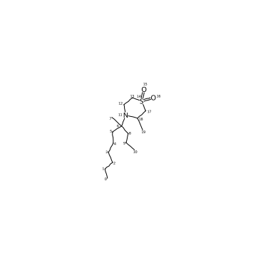 CCCCCCC(C)(CCC)N1CCS(=O)(=O)CC1C